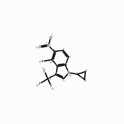 O=[N+]([O-])c1ccc2c(c(C(F)(F)F)cn2C2CC2)c1F